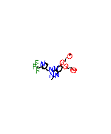 COCCOc1cc2nc(C)nc(NCc3ccnc(C(F)(F)F)c3)c2cc1OCCOC